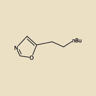 [CH2]CCCCCc1cnco1